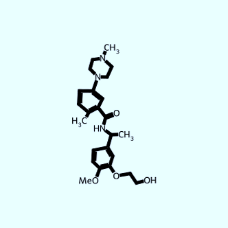 COc1ccc(C(C)NC(=O)c2cc(N3CCN(C)CC3)ccc2C)cc1OCCO